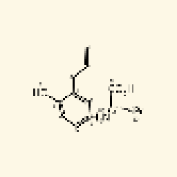 C=CCc1ccccc1O.CC(C)[C@H](N)C(=O)O